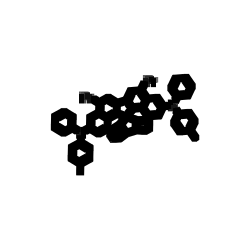 Cc1ccc(N(c2ccccc2)c2ccc3c4c(cc(C(C)C)c3c2)-c2cc(C(C)C)c3cc(N(c5ccccc5)c5ccc(C)cc5)ccc3c2C42c3ccccc3-c3ccccc32)cc1